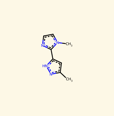 Cc1cc(-c2nccn2C)[nH]n1